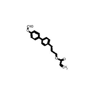 C=CC(=O)OCCCc1ccc(-c2ccc(OC=O)cc2)cc1